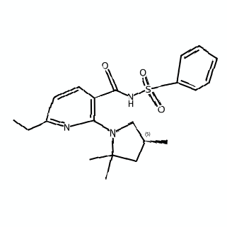 CCc1ccc(C(=O)NS(=O)(=O)c2ccccc2)c(N2C[C@@H](C)CC2(C)C)n1